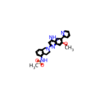 COc1cc2nc(N3CCc4c(cccc4NS(C)(=O)=O)C3)cc(N)c2cc1-c1ccccn1